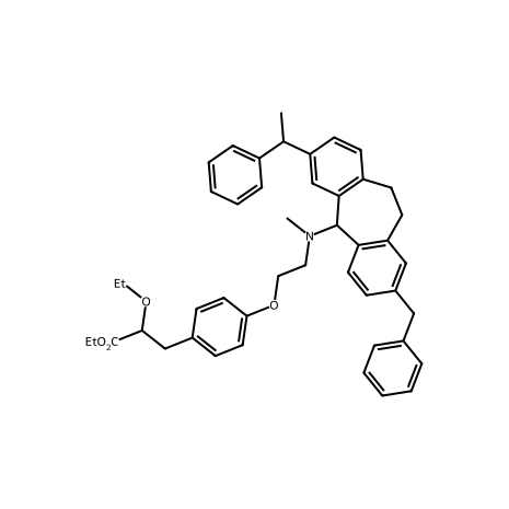 CCOC(=O)C(Cc1ccc(OCCN(C)C2c3ccc(Cc4ccccc4)cc3CCc3ccc(C(C)c4ccccc4)cc32)cc1)OCC